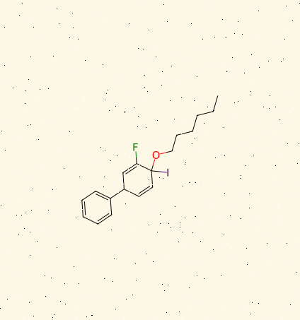 CCCCCCOC1(I)C=CC(c2ccccc2)C=C1F